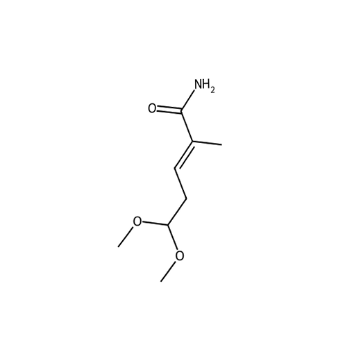 COC(C/C=C(\C)C(N)=O)OC